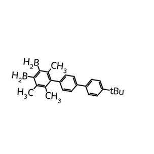 Bc1c(B)c(C)c(-c2ccc(-c3ccc(C(C)(C)C)cc3)cc2)c(C)c1C